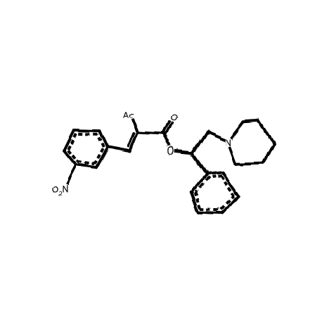 CC(=O)/C(=C\c1cccc([N+](=O)[O-])c1)C(=O)OC(CN1CCCCC1)c1ccccc1